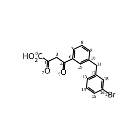 O=C(O)C(=O)CC(=O)c1cccc(Cc2cccc(Br)c2)c1